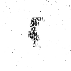 CC#CC(=O)N1CCCC1c1nc(-c2ccc(C(=O)Nc3cc(CC)ccn3)cc2)c2c(N)nccn12